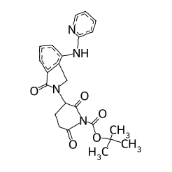 CC(C)(C)OC(=O)N1C(=O)CCC(N2Cc3c(Nc4ccccn4)cccc3C2=O)C1=O